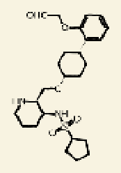 O=CCOc1ccccc1[C@H]1CC[C@@H](OC[C@@H]2NCCC[C@@H]2NS(=O)(=O)C2CCCC2)CC1